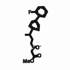 COC(=O)C[S+]([O-])CCC(C)c1ccc(-c2ccccc2F)cc1